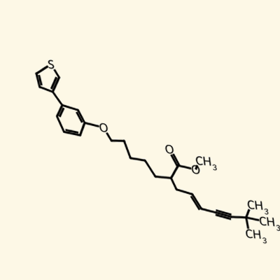 COC(=O)C(CC=CC#CC(C)(C)C)CCCCCOc1cccc(-c2ccsc2)c1